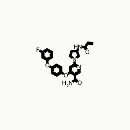 C=CC(=O)NC1CCN(c2cc(Oc3ccc(Oc4cccc(F)c4)cc3)c(C(N)=O)cn2)C1